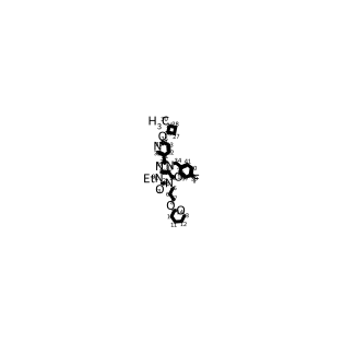 CCn1c(=O)n(CCCOC2CCCCO2)c(=O)c2c1nc(-c1ccc(OC3CCC3C)nc1)n2Cc1ccc(F)cc1